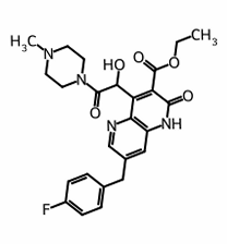 CCOC(=O)c1c(C(O)C(=O)N2CCN(C)CC2)c2ncc(Cc3ccc(F)cc3)cc2[nH]c1=O